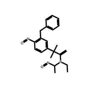 C=C(N(CC)C(C)N=O)C(C)(C)c1ccc(N=O)c(Cc2ccccc2)c1